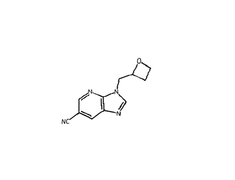 N#Cc1cnc2c(c1)ncn2CC1CCO1